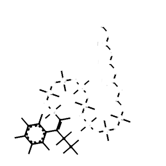 CC(=C(c1c(C)c(C)c(C)c(C)c1C)C(C)(C)C(C)(C)C)[Si](C)(C)O[Si](C)(C)O[Si](C)(C)O[Si](C)(C)O[Si](C)(C)O[Si](C)(C)O[Si](C)(C)O[Si](C)(C)O[SiH2]O[SiH2]O[SiH2]O[SiH2]O[SiH3]